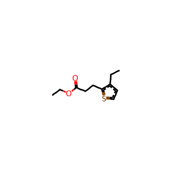 CCOC(=O)CCc1sccc1CC